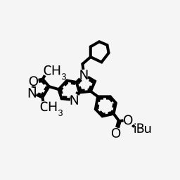 CCC(C)OC(=O)c1ccc(-c2cn(CC3CCCCC3)c3cc(-c4c(C)noc4C)cnc23)cc1